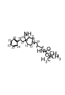 CC(C)(C)OC(=O)NCCCN1CCC(CN)(CCc2ccccc2)CC1